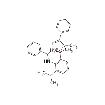 CC(C)c1cccc(C(C)C)c1NC(c1ccccc1)c1cc(-c2ccccc2)n(C)n1